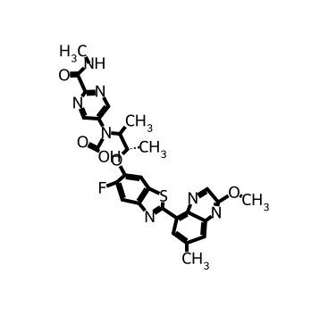 CNC(=O)c1ncc(N(C(=O)O)C(C)[C@H](C)Oc2cc3sc(-c4cc(C)cc5nc(OC)cnc45)nc3cc2F)cn1